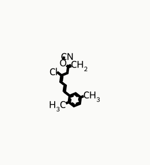 C=C(C/C(Cl)=C\C=C\c1cc(C)ccc1C)OC#N